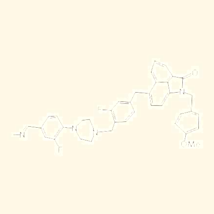 C/N=C/c1ccc(N2CCN(Cc3ccc(Cc4ccc5c6c(cccc46)C(=O)N5Cc4ccc(OC)cc4)cc3F)CC2)c(F)c1